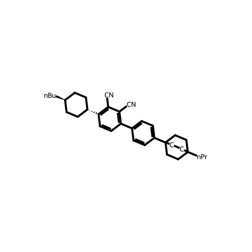 CCCC[C@H]1CC[C@H](c2ccc(-c3ccc(C45CCC(CCC)(CC4)CC5)cc3)c(C#N)c2C#N)CC1